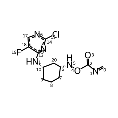 C=NC(=O)ON[C@@H]1CCC[C@H](Nc2nc(Cl)ncc2F)C1